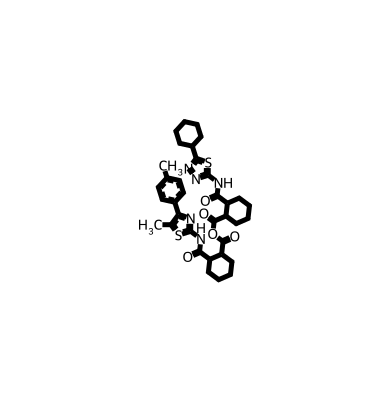 Cc1ccc(-c2nc(NC(=O)C3CCCCC3C(=O)OC(=O)C3CCCCC3C(=O)Nc3nnc(C4CCCCC4)s3)sc2C)cc1